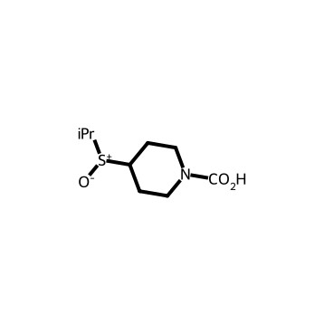 CC(C)[S+]([O-])C1CCN(C(=O)O)CC1